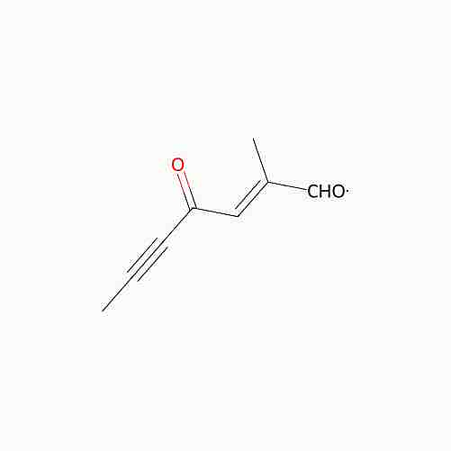 CC#CC(=O)C=C(C)[C]=O